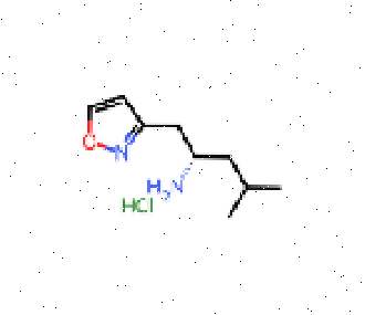 CC(C)C[C@H](N)Cc1ccon1.Cl